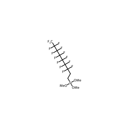 CO[Si](CCC(F)(F)C(F)(F)C(F)(F)C(F)(F)C(F)(F)C(F)(F)C(F)(F)F)(OC)OC